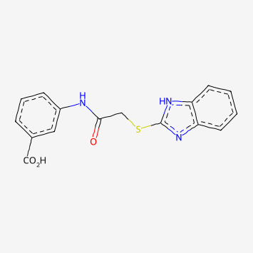 O=C(CSc1nc2ccccc2[nH]1)Nc1cccc(C(=O)O)c1